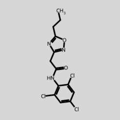 CCCc1nc(CC(=O)Nc2c(Cl)cc(Cl)cc2Cl)no1